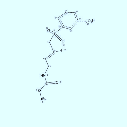 CC(C)(C)OC(=O)NC/C=C(\F)CS(=O)(=O)c1cccc(C(=O)O)c1